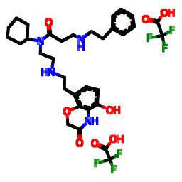 O=C(O)C(F)(F)F.O=C(O)C(F)(F)F.O=C1COc2c(CCNCCN(C(=O)CCNCCc3ccccc3)C3CCCCC3)ccc(O)c2N1